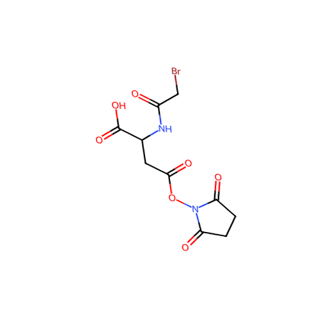 O=C(CBr)NC(CC(=O)ON1C(=O)CCC1=O)C(=O)O